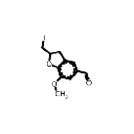 COc1cc(C=O)cc2c1OC(CI)C2